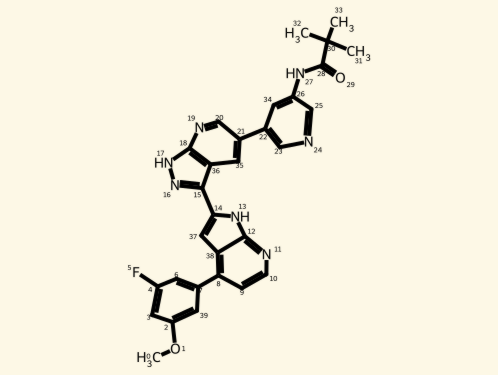 COc1cc(F)cc(-c2ccnc3[nH]c(-c4n[nH]c5ncc(-c6cncc(NC(=O)C(C)(C)C)c6)cc45)cc23)c1